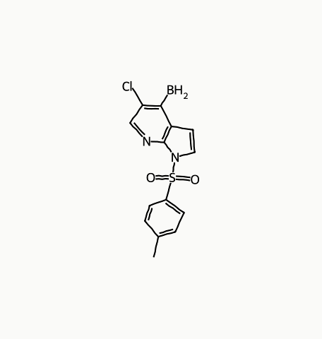 Bc1c(Cl)cnc2c1ccn2S(=O)(=O)c1ccc(C)cc1